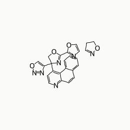 C1=NOCC1.c1ccc2c(c1)ccc1nccc(C3(c4conn4)COC(c4ncco4)=N3)c12